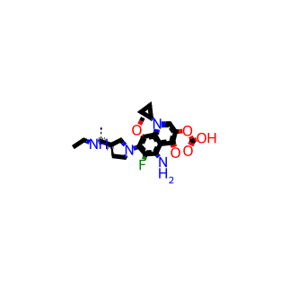 CCN[C@H](C)[C@@H]1CCN(c2c(F)c(N)c3c(=O)c(OC(=O)O)cn(C4CC4)c3c2OC)C1